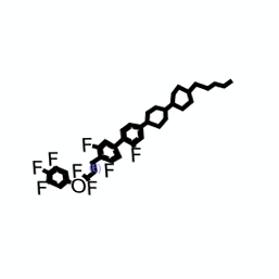 CCCCCC1CCC(C2CCC(c3ccc(-c4cc(F)c(/C=C/C(F)(F)Oc5cc(F)c(F)c(F)c5)c(F)c4)c(F)c3)CC2)CC1